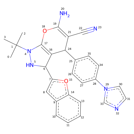 CC(C)(C)N1NC(c2cc3ccccc3o2)C2=C1OC(N)=C(C#N)C2c1ccc(-n2ccnc2)cc1